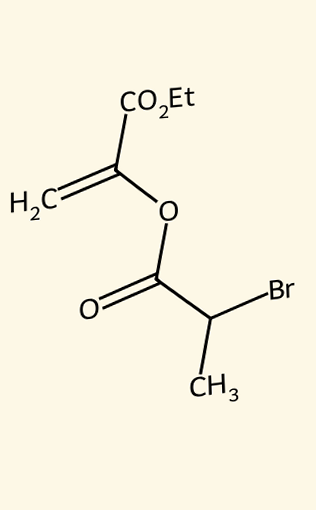 C=C(OC(=O)C(C)Br)C(=O)OCC